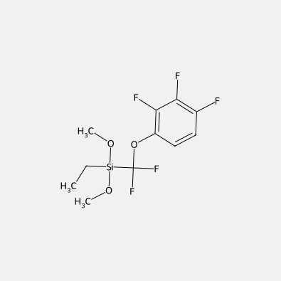 CC[Si](OC)(OC)C(F)(F)Oc1ccc(F)c(F)c1F